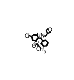 CN1c2ccccc2C(NCC2CCOC2)c2ccc(Cl)cc2[S+]1[O-]